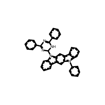 c1ccc(C2=NC(n3c4ccccc4c4cc5c(cc43)c3ccccc3n5-c3ccccc3)NC(c3ccccc3)=N2)cc1